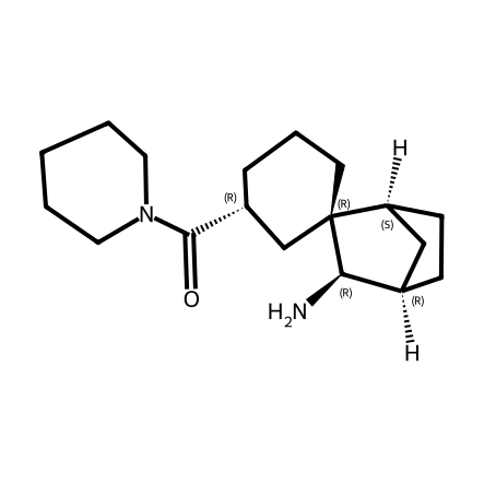 N[C@@H]1[C@@H]2CC[C@@H](C2)[C@]12CCC[C@@H](C(=O)N1CCCCC1)C2